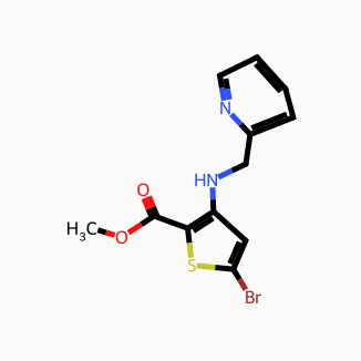 COC(=O)c1sc(Br)cc1NCc1ccccn1